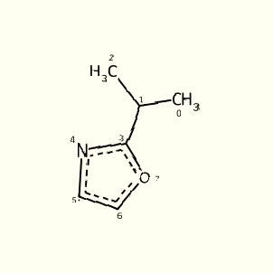 CC(C)c1n[c]co1